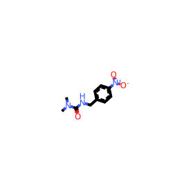 CN(C)C(=O)NCc1ccc([N+](=O)[O-])cc1